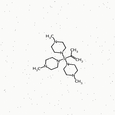 C=C(C)[Si](N1CCN(C)CC1)(N1CCN(C)CC1)N1CCN(C)CC1